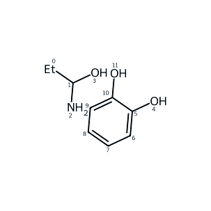 CCC(N)O.Oc1ccccc1O